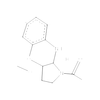 CO[C@@]12CCN(C(C)=O)[C@@H]1Nc1ccccc1O2